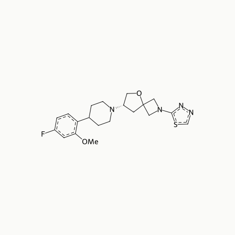 COc1cc(F)ccc1C1CCN([C@@H]2COC3(C2)CN(c2nncs2)C3)CC1